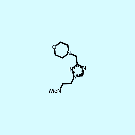 CNCCn1cnc(CN2CCOCC2)n1